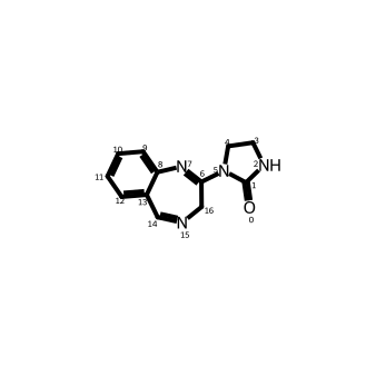 O=C1NCCN1C1=Nc2ccccc2C=NC1